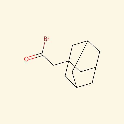 O=C(Br)CC12CC3CC(CC(C3)C1)C2